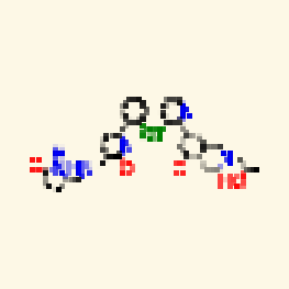 COc1cc(-c2nccc(-c3cccc(-c4ccc(CNC[C@H]5CCC(=O)N5)c(OC)n4)c3Cl)c2Cl)cc2c1CCN(C[C@@H](C)O)C2